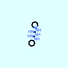 N=C(NC(=N)NN1CCCCCC1)NC1CCCCCC1